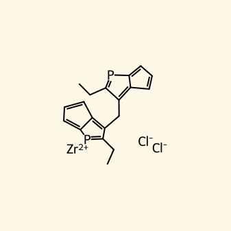 CCC1=PC2=CC=CC2=C1CC1=C2C=CC=C2P=C1CC.[Cl-].[Cl-].[Zr+2]